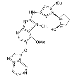 COc1c(Oc2cnn3ccncc23)cnc2nc(Nc3cc(C(C)(C)C)n([C@H]4CCC[C@H]4O)n3)n(C)c12